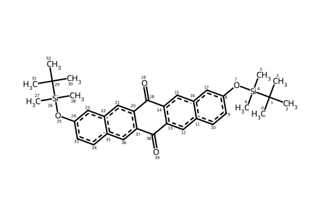 CC(C)(C)[Si](C)(C)Oc1ccc2cc3c(cc2c1)C(=O)c1cc2cc(O[Si](C)(C)C(C)(C)C)ccc2cc1C3=O